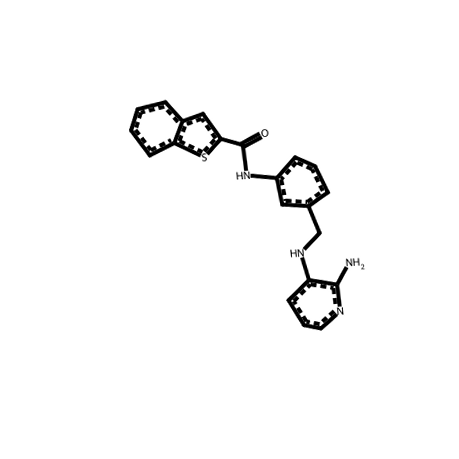 Nc1ncccc1NCc1cccc(NC(=O)c2cc3ccccc3s2)c1